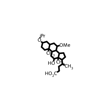 COC1CC2CC(OC(C)C)CCC2(C)C2CC(O)C3(C)C(C(C)CCC(=O)O)CCC3C12